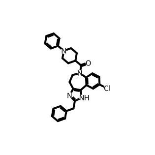 O=C(C1CCN(c2ccccc2)CC1)N1CCc2nc(Cc3ccccc3)[nH]c2-c2cc(Cl)ccc21